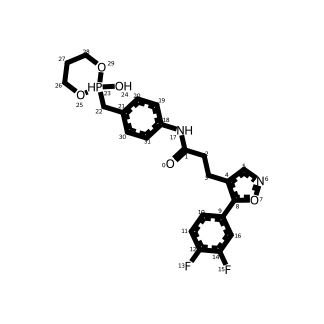 O=C(CCc1cnoc1-c1ccc(F)c(F)c1)Nc1ccc(C[PH]2(O)OCCCO2)cc1